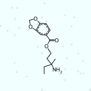 CCC(C)(N)CCOC(=O)c1ccc2c(c1)OCO2